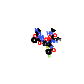 CCCC(NC(=O)[C@@H]1CC2(CN1C(=O)[C@@H](NC(=O)[C@@H](NC(=O)c1cnccn1)C1CCCCC1)C(C)(C)C)Sc1ccc(F)cc1C(=O)N2C)C(=O)C(=O)NC1CC1